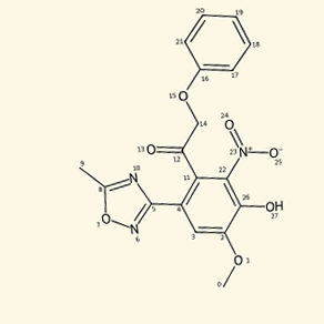 COc1cc(-c2noc(C)n2)c(C(=O)COc2ccccc2)c([N+](=O)[O-])c1O